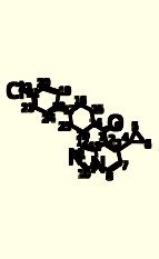 O=C(c1c(C2CC2)ccn2cncc12)C1CCC(c2ccc(Cl)cc2)CC1